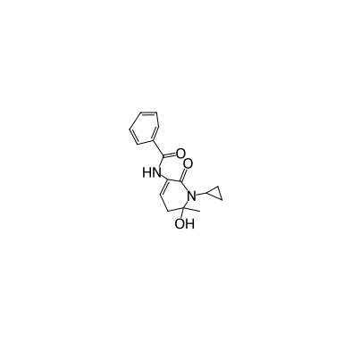 CC1(O)CC=C(NC(=O)c2ccccc2)C(=O)N1C1CC1